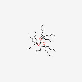 CCCC[Si](CCCC)(CCCC)OB(O[Si](CCCC)(CCCC)CCCC)O[Si](CCCC)(CCCC)CCCC